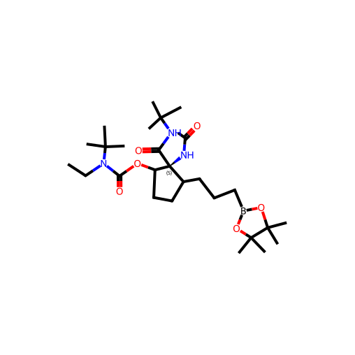 CCN(C(=O)OC1CCC(CCCB2OC(C)(C)C(C)(C)O2)[C@@]1(NC(C)=O)C(=O)NC(C)(C)C)C(C)(C)C